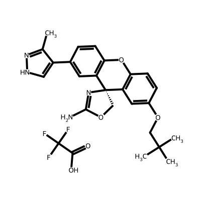 Cc1n[nH]cc1-c1ccc2c(c1)[C@@]1(COC(N)=N1)c1cc(OCC(C)(C)C)ccc1O2.O=C(O)C(F)(F)F